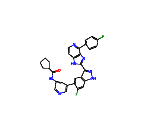 O=C(Nc1cncc(-c2cc3c(-c4nc5c(-c6ccc(F)cc6)nccc5[nH]4)n[nH]c3cc2F)c1)C1CCCC1